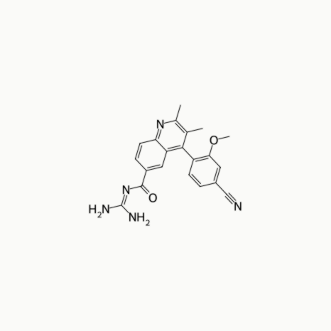 COc1cc(C#N)ccc1-c1c(C)c(C)nc2ccc(C(=O)N=C(N)N)cc12